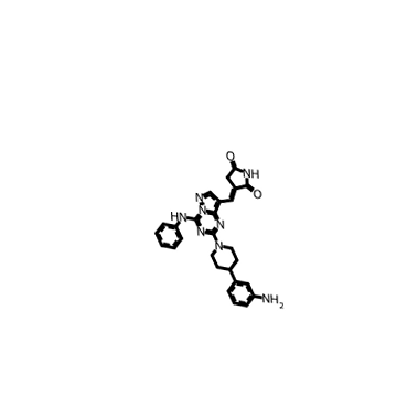 Nc1cccc(C2CCN(c3nc(Nc4ccccc4)n4ncc(/C=C5\CC(=O)NC5=O)c4n3)CC2)c1